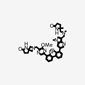 COc1nc(-c2cccc(-c3cccc(-c4cnc5c(CN(C)CC6(C)CCC(=O)N6)cn(C)c5c4)c3Cl)c2Cl)cnc1CN1CC2(CCC(=O)N2)C1